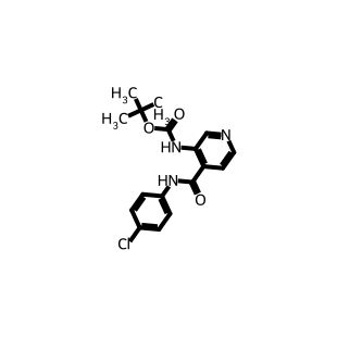 CC(C)(C)OC(=O)Nc1cnccc1C(=O)Nc1ccc(Cl)cc1